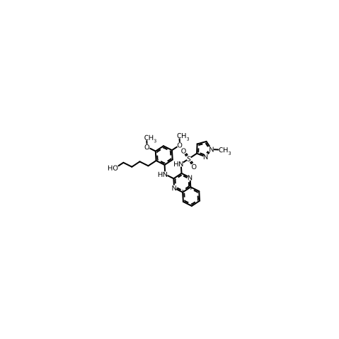 COc1cc(Nc2nc3ccccc3nc2NS(=O)(=O)c2ccn(C)n2)c(CCCCO)c(OC)c1